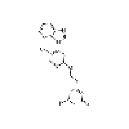 C=C/C=C(\C=C(/C)F)CCOc1ncc(Cl)c(-n2cnc3ccccc32)n1